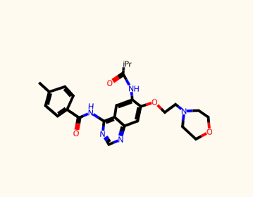 Cc1ccc(C(=O)Nc2ncnc3cc(OCCN4CCOCC4)c(NC(=O)C(C)C)cc23)cc1